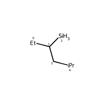 CCC([SiH3])CC(C)C